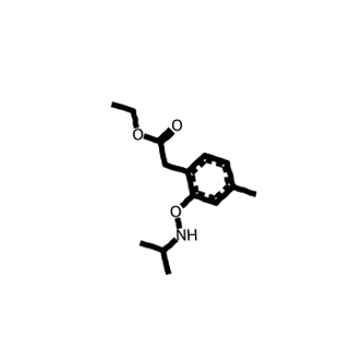 CCOC(=O)Cc1ccc(C)cc1ONC(C)C